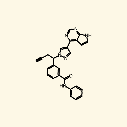 C#CCC(c1cccc(C(=O)Nc2ccccc2)c1)n1cc(-c2ncnc3[nH]ccc23)cn1